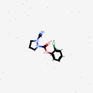 N#CN1CCCN1C(=O)Oc1ccccc1Cl